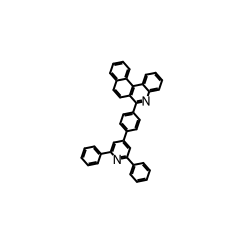 c1ccc(-c2cc(-c3ccc(-c4nc5ccccc5c5c4ccc4ccccc45)cc3)cc(-c3ccccc3)n2)cc1